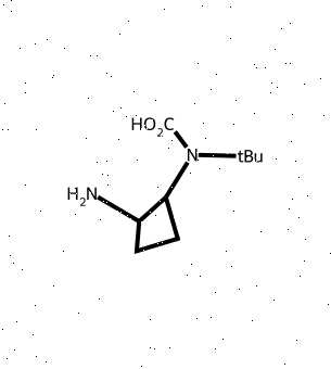 CC(C)(C)N(C(=O)O)C1CCC1N